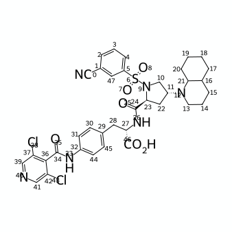 N#Cc1cccc(S(=O)(=O)N2C[C@H](N3CCCC4CCCCC43)C[C@H]2C(=O)N[C@@H](Cc2ccc(NC(=O)c3c(Cl)cncc3Cl)cc2)C(=O)O)c1